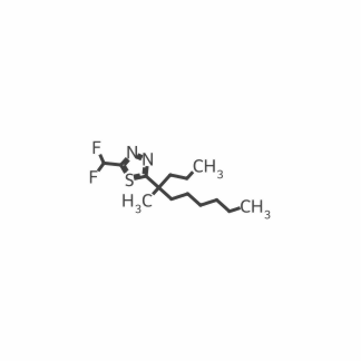 CCCCCCC(C)(CCC)c1nnc(C(F)F)s1